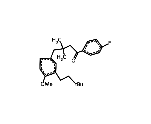 COc1ccc(CC(C)(C)CC(=O)c2ccc(F)cc2)cc1CCC(C)(C)C